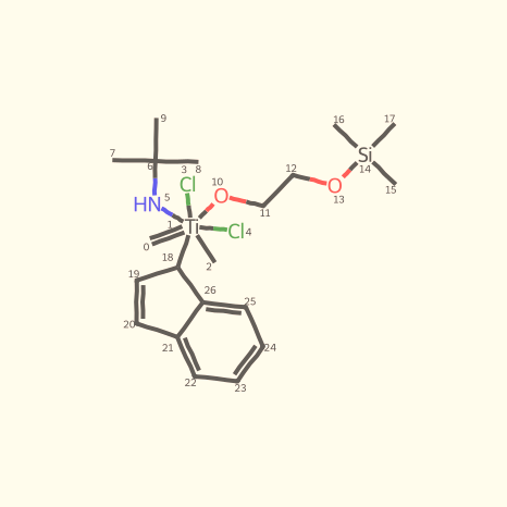 [CH2]=[Ti]([CH3])([Cl])([Cl])([NH]C(C)(C)C)([O]CCO[Si](C)(C)C)[CH]1C=Cc2ccccc21